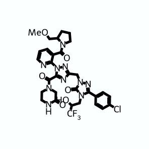 COCC1CCCN1C(=O)c1cccnc1-n1nc(Cn2nc(-c3ccc(Cl)cc3)n(CC(O)C(F)(F)F)c2=O)nc1C(=O)N1CCNC(=O)C1